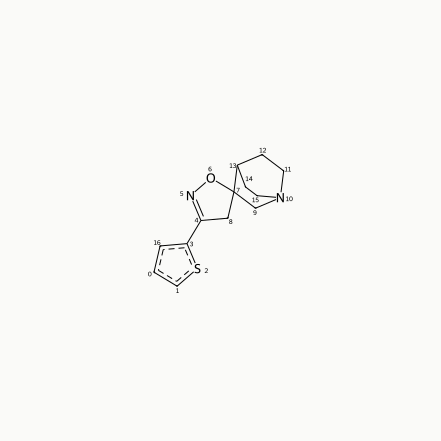 c1csc(C2=NOC3(C2)CN2CCC3CC2)c1